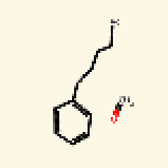 C=O.CC(=O)CCCCc1ccccc1